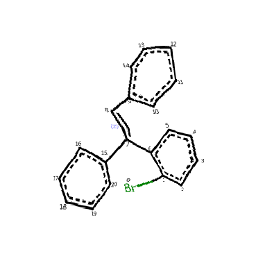 Brc1ccccc1/C(=C\c1ccccc1)c1ccccc1